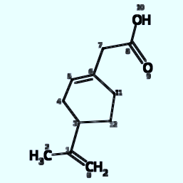 C=C(C)C1CC=C(CC(=O)O)CC1